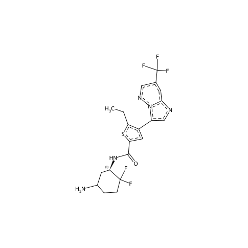 CCc1sc(C(=O)N[C@@H]2CC(N)CCC2(F)F)cc1-c1cnc2cc(C(F)(F)F)cnn12